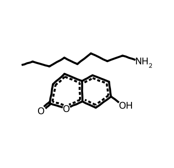 CCCCCCCCN.O=c1ccc2ccc(O)cc2o1